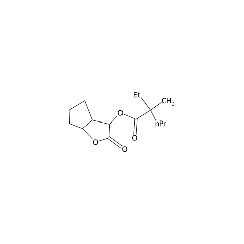 CCCC(C)(CC)C(=O)OC1C(=O)OC2CCCC21